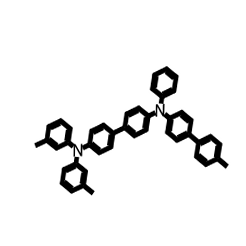 Cc1ccc(-c2ccc(N(c3ccccc3)c3ccc(-c4ccc(N(c5cccc(C)c5)c5cccc(C)c5)cc4)cc3)cc2)cc1